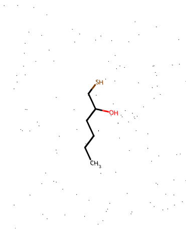 CCCCC(O)CS